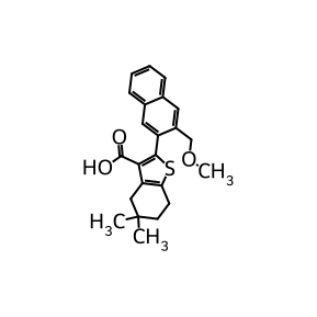 COCc1cc2ccccc2cc1-c1sc2c(c1C(=O)O)CC(C)(C)CC2